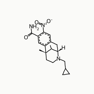 CC1[C@@H]2Cc3cc([N+](=O)[O-])c(C(N)=O)cc3[C@@]1(C)CCN2CC1CC1